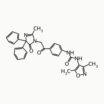 CC1=NC(c2ccccc2)(c2ccccc2)C(=O)N1CC(=O)c1ccc(NC(=O)Nc2c(C)noc2C)cc1